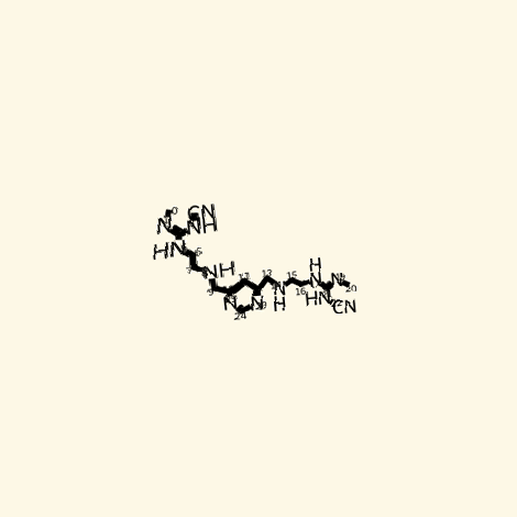 CN=C(NC#N)NCCNCc1cc(CNCCNC(=NC)NC#N)ncn1